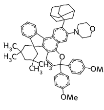 COc1ccc(C2(c3ccc(OC)cc3)C=Cc3c4c(c5cc(C67CC8CC(CC(C8)C6)C7)c(N6CCOCC6)cc5c3O2)-c2ccccc2C42CC(C)(C)CC(C)(C)C2)cc1